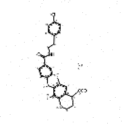 O=C(NCCc1ccc(Cl)cc1)c1ccc(Oc2c(Cl)cc3c(c2Cl)OCCC3C(=O)[O-])cc1.[Na+]